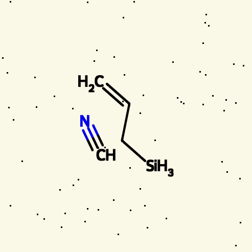 C#N.C=CC[SiH3]